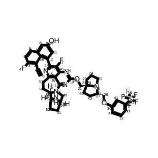 C#Cc1c(F)ccc2cc(O)cc(-c3nc4c5c(nc(OC[C@@]67CCCN6[C@H](COc6cccc(S(F)(F)(F)(F)F)c6)CC7)nc5c3F)N3C[C@H]5CC[C@H](N5)[C@H]3CC4)c12